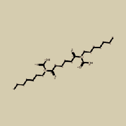 CCCCCCCN(C(=O)O)C(=O)CCCCC(=O)N(CCCCCCC)C(=O)O